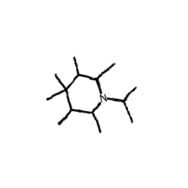 CC(C)N1C(C)C(C)C(C)(C)C(C)C1C